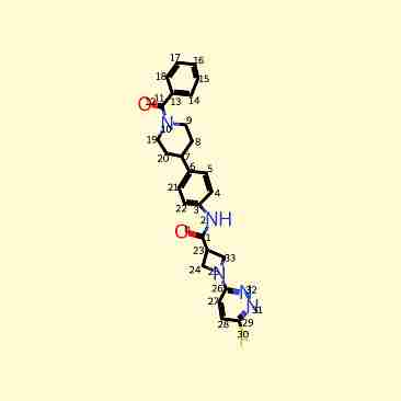 O=C(Nc1ccc(C2CCN(C(=O)c3ccccc3)CC2)cc1)C1CN(c2ccc(F)nn2)C1